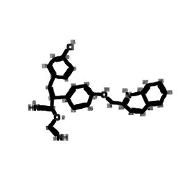 N=COC(=N)/C(=C/c1ccc(Cl)cc1)c1ccc(OCc2ccc3ccccc3n2)cc1